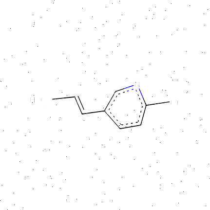 CC(C)c1ccc(C=CC(=O)O)cn1